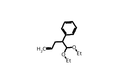 C=CCC(c1ccccc1)C(OCC)OCC